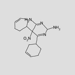 NC1=NC(N)N=C(C2CC=CCC2)C1(C1CC=CCC1)[N+](=O)[O-]